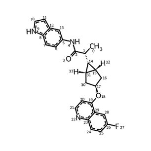 CC(C(=O)Nc1ccc2[nH]ccc2c1)[C@@H]1[C@@H]2C[C@@H](Oc3ccnc4ccc(F)cc34)C[C@@H]21